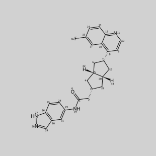 O=C(C[C@@H]1C[C@@H]2C[C@H](c3ccnc4ccc(F)cc34)C[C@@H]2C1)Nc1ccc2[nH]ncc2c1